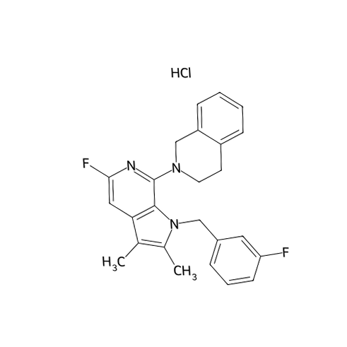 Cc1c(C)n(Cc2cccc(F)c2)c2c(N3CCc4ccccc4C3)nc(F)cc12.Cl